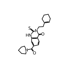 O=C(c1ccc2c(=O)n(CCC3=CCCCC3)c(=S)[nH]c2c1)N1CCCCC1